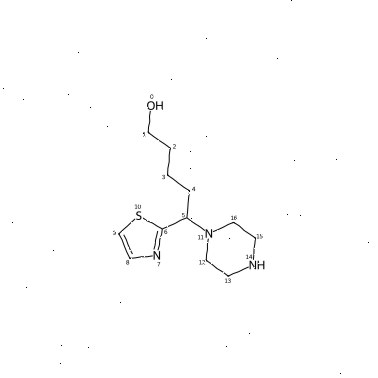 OCCCCC(c1nccs1)N1CCNCC1